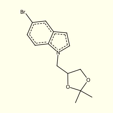 CC1(C)OCC(Cn2ccc3cc(Br)ccc32)O1